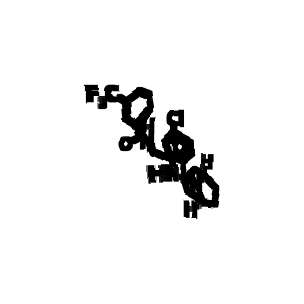 O=C(CNC(=O)c1cccc(C(F)(F)F)c1)N[C@@H]1C[C@H]2CC[C@@H](C1)N2Cc1ccc(Cl)cc1